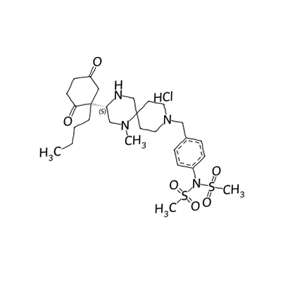 CCCCC1([C@H]2CN(C)C3(CCN(Cc4ccc(N(S(C)(=O)=O)S(C)(=O)=O)cc4)CC3)CN2)CC(=O)CCC1=O.Cl